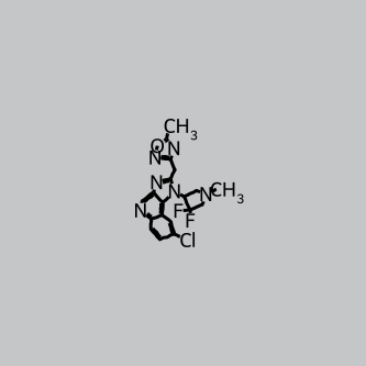 Cc1nc(Cc2nc3cnc4ccc(Cl)cc4c3n2C2CN(C)CC2(F)F)no1